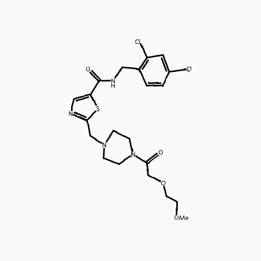 COCCOCC(=O)N1CCN(Cc2ncc(C(=O)NCc3ccc(Cl)cc3Cl)s2)CC1